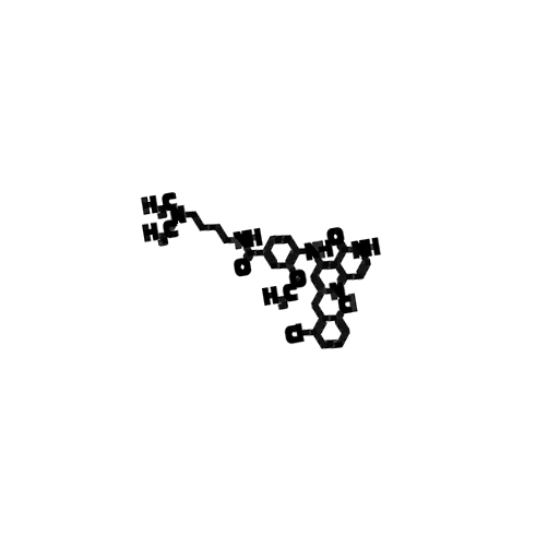 COc1cc(C(=O)NCCCCN(C)C)ccc1Nc1cc(Cc2c(Cl)cccc2Cl)nc2cc[nH]c(=O)c12